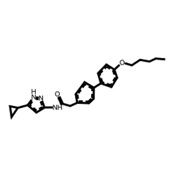 CCCCCOc1ccc(-c2ccc(CC(=O)Nc3cc(C4CC4)[nH]n3)cc2)cc1